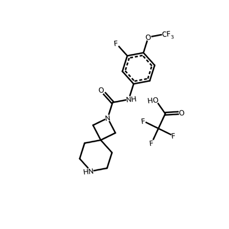 O=C(Nc1ccc(OC(F)(F)F)c(F)c1)N1CC2(CCNCC2)C1.O=C(O)C(F)(F)F